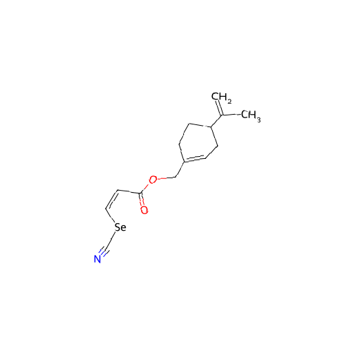 C=C(C)C1CC=C(COC(=O)/C=C\[Se]C#N)CC1